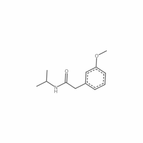 COc1cccc(CC(=O)NC(C)C)c1